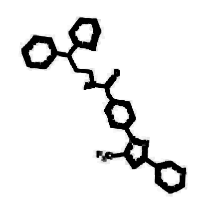 O=C(NCCC(c1ccccc1)c1ccccc1)c1ccc(-n2nc(-c3cccnc3)cc2C(F)(F)F)cc1